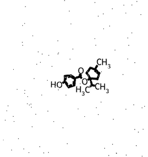 CC1=CCC(OC(=O)c2ccc(O)cc2)(C(C)C)CC1